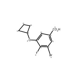 O=C(O)c1cc(Br)c(F)c(OC2CCC2)c1